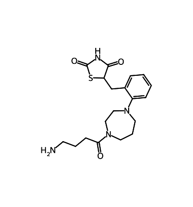 NCCCC(=O)N1CCCN(c2ccccc2CC2SC(=O)NC2=O)CC1